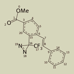 COC(=O)c1ccc(/C=C/c2ccccc2)c(C2(C(F)(F)F)N=N2)c1